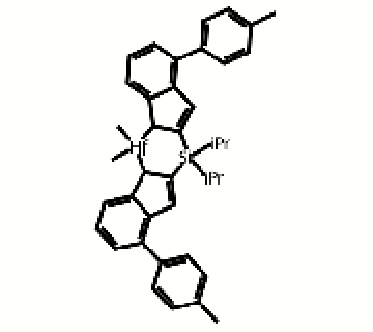 Cc1ccc(-c2cccc3c2C=C2[CH]3[Hf]([CH3])([CH3])[CH]3C(=Cc4c(-c5ccc(C)cc5)cccc43)[Si]2(C(C)C)C(C)C)cc1